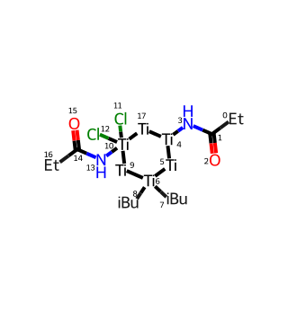 CCC(=O)[NH][Ti]1[Ti][Ti]([CH](C)CC)([CH](C)CC)[Ti][Ti]([Cl])([Cl])([NH]C(=O)CC)[Ti]1